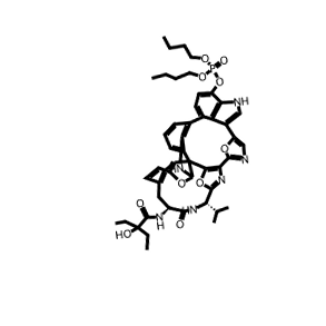 CCCCOP(=O)(OCCCC)Oc1ccc2c3c(c[nH]c13)-c1cnc(o1)-c1nc3oc1C14c5cc(ccc5OC1Nc1c-2cccc14)C[C@H](NC(=O)C(O)(CC)CC)C(=O)N[C@H]3C(C)C